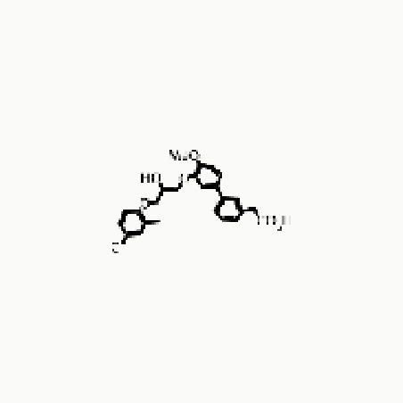 COc1ccc(-c2cccc(CC(=O)O)c2)cc1OCC(O)COc1ccc(Cl)cc1C